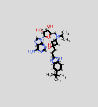 CC(C)N(C[C@H]1O[C@@H](n2cnc3c(N)ncnc32)[C@H](O)[C@@H]1O)C1CC(O)(CCc2nc3cc(C(C)(C)C)ccc3[nH]2)C1